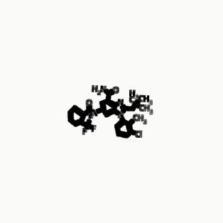 Cc1c(Cl)cccc1-n1c(CC(C)(C)C)nc2c(C(N)=O)cc(NC(=O)c3ccccc3C(F)(F)F)cc21